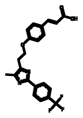 Cc1nc(-c2ccc(C(F)(F)F)cc2)sc1CCOc1ccc(C=CC(=O)O)cc1